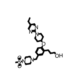 CCc1cnc(N2CCC(Oc3ccc(CN4CCN(S(C)(=O)=O)CC4)cc3CCCO)CC2)nc1